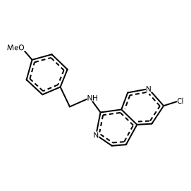 COc1ccc(CNc2nccc3cc(Cl)ncc23)cc1